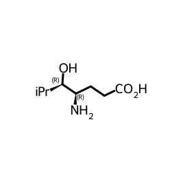 CC(C)[C@@H](O)[C@H](N)CCC(=O)O